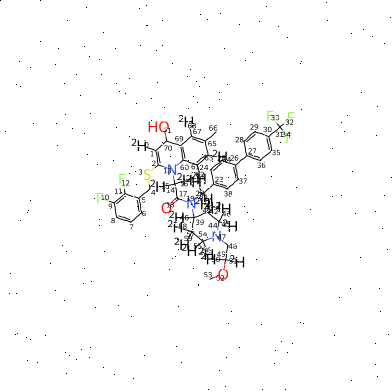 [2H]C1=C(SCc2cccc(F)c2F)N(C([2H])([2H])C(=O)N(C([2H])([2H])c2ccc(-c3ccc(C(F)(F)F)cc3)cc2)C2([2H])C([2H])([2H])C([2H])([2H])N(CC([2H])([2H])OC)C([2H])([2H])C2([2H])[2H])c2c([2H])c([2H])c(C)c([2H])c2C1O